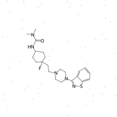 CN(C)C(=O)NC1CCC(F)(CCN2CCN(c3nsc4ccccc34)CC2)CC1